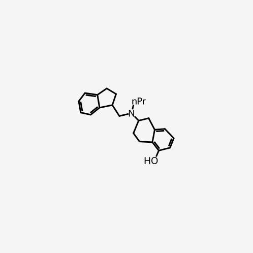 CCCN(CC1CCc2ccccc21)C1CCc2c(O)cccc2C1